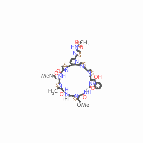 CNC(=O)C[C@@H]1NC(=O)c2csc(n2)-c2ccc(-c3nc(NS(C)(=O)=O)cs3)nc2-c2csc(n2)-c2csc(n2)[C@H]([C@@H](O)c2ccccc2)NC(=O)CNC(=O)c2nc(sc2COC)[C@H](C(C)C)NC(=O)c2nc1sc2C